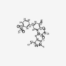 CSc1nn(C)c(C)c1CN1C(=O)[C@@H](C)Oc2c(F)cc(-c3cccc(S(C)(=O)=O)c3)cc21